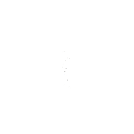 CCOC(=O)OC(C)(C)[C@@H](O)/C=C/[C@@H](C)[C@H]1CC[C@H]2/C(=C/C=C3C[C@@H](O)C[C@H](O)C3)CCC[C@]12C